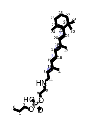 [CH2][CH]COP(=O)(O)OCCNC/C=C(C)/C=C/C=C(C)/C=C/C1=C(C)CCCC1(C)C